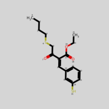 CCCCSCC(=O)C(=Cc1cccc(S)c1)C(=O)OCC